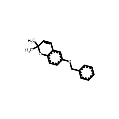 CC1(C)C=Cc2cc(OCc3ccccc3)ccc2O1